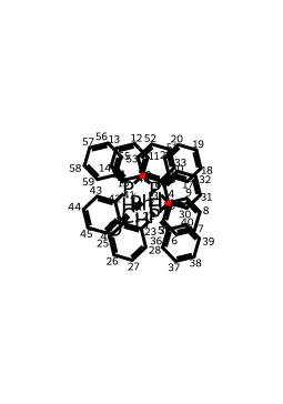 O=[C]=[RhH]([PH](c1ccccc1)(c1ccccc1)c1ccccc1)([PH](c1ccccc1)(c1ccccc1)c1ccccc1)[PH](c1ccccc1)(c1ccccc1)c1ccccc1